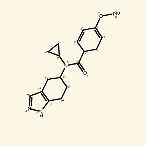 CC(C)(C)OC1=CCC(C(=O)N(C2CC2)C2CCc3[nH]ncc3C2)C=C1